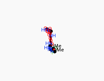 COc1cc(Nc2ncc3c(n2)-c2ccc(Cl)cc2C(c2c(F)cccc2OC)=NC3)ccc1C(=O)NCCOCCOCCNC(=O)COc1cccc2c1C(=O)N(C1CCC(=O)NC1=O)C2=O